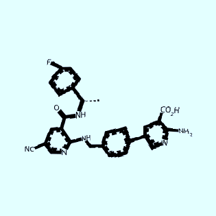 C[C@H](NC(=O)c1cc(C#N)cnc1NCc1ccc(-c2cnc(N)c(C(=O)O)c2)cc1)c1ccc(F)cc1